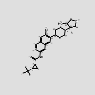 CC(C)(F)[C@@H]1C[C@H]1C(=O)Nc1cc2cc(C3CCN([C@]4(C)COC[C@@H]4O)CC3)c(Cl)cc2cn1